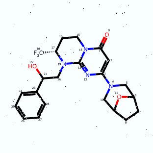 O=c1cc(N2CC3CCC(C2)O3)nc2n1CC[C@@H](C(F)(F)F)N2CC(O)c1ccccc1